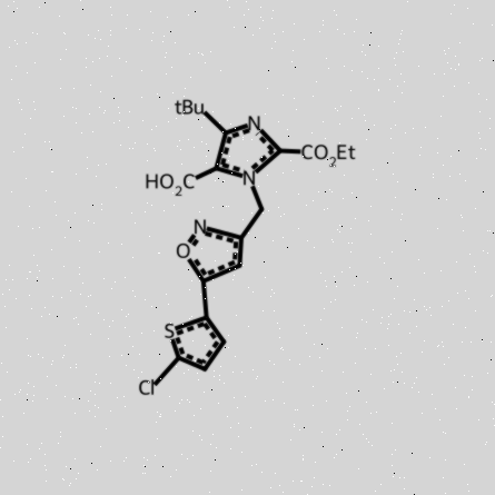 CCOC(=O)c1nc(C(C)(C)C)c(C(=O)O)n1Cc1cc(-c2ccc(Cl)s2)on1